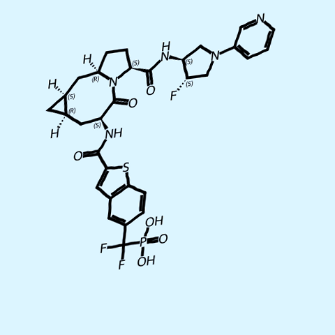 O=C(N[C@H]1C[C@H]2C[C@H]2C[C@H]2CC[C@@H](C(=O)N[C@H]3CN(c4cccnc4)C[C@@H]3F)N2C1=O)c1cc2cc(C(F)(F)P(=O)(O)O)ccc2s1